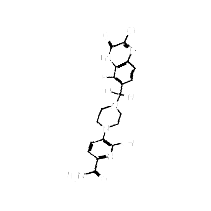 [2H]C([2H])(c1ccc2nc(C)c(=O)[nH]c2c1F)N1CCN(c2ccc(C(N)=O)nc2C)CC1